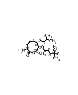 CC(C)CC[C@H]1CCC[C@H](N)C(=O)O[C@@H](C)[C@@H]1OCCCC(C)(C)F